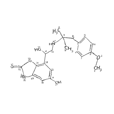 COc1ccc(CC(C)(C)NCC(O)c2cc(O)cc3[nH]c(=O)oc23)cc1